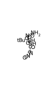 CC(C)(C)c1cc(NC(=O)Nc2ccc(-c3ccc(CN4CCOCC4)nc3)c3ccccc23)c2oc(CC(N)=O)nc2c1